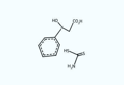 NC(=S)S.O=C(O)CN(O)c1ccccc1